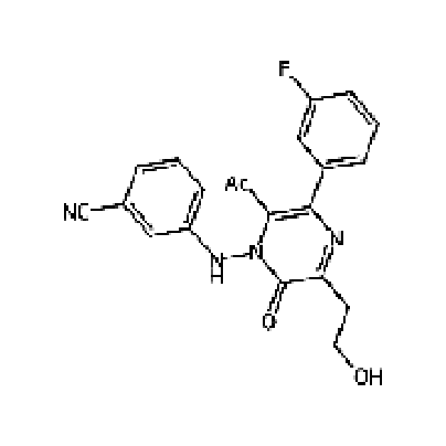 CC(=O)c1c(-c2cccc(F)c2)nc(CCO)c(=O)n1Nc1cccc(C#N)c1